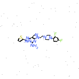 Nc1nc2c(cnn2CCN2CCN(c3ccc(F)cc3F)CC2)c2nc(-c3cccs3)nn12